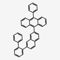 c1ccc(-c2ccccc2-c2ccc3ccc(-c4c5ccccc5c(-c5ccccc5)c5ccccc45)cc3c2)cc1